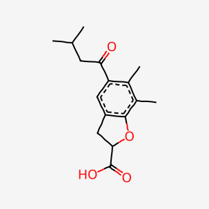 Cc1c(C(=O)CC(C)C)cc2c(c1C)OC(C(=O)O)C2